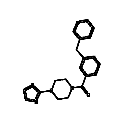 O=C(c1cc[c]c(Cc2ccccc2)c1)N1CCN(c2nccs2)CC1